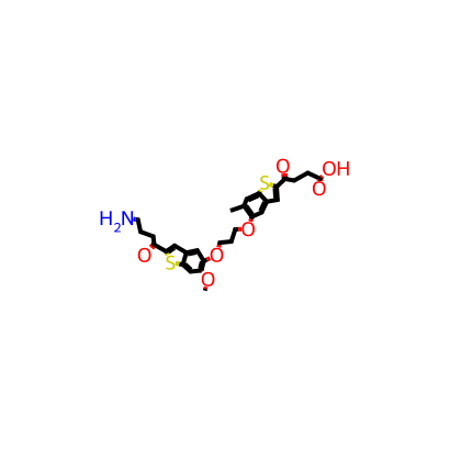 COc1cc2sc(C(=O)CCCN)cc2cc1OCCCOc1cc2cc(C(=O)CCC(=O)O)sc2cc1C